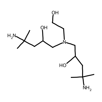 CC(C)(N)CC(O)CN(CCO)CC(O)CC(C)(C)N